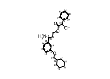 N[C@H](CCOC(=O)[C@H](O)c1ccccc1)c1cccc(OCC2CCCCC2)c1